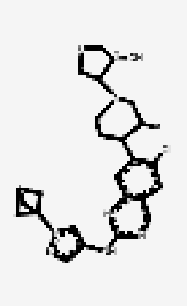 O[C@@H]1COCC1N1CCC(c2cc3nc(Nc4cnn(C56CC(C5)C6)c4)ncc3cc2Cl)C(F)C1